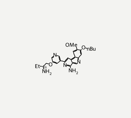 CCCCOc1cc2ncc3c(N)nc(-c4cncc(OC[C@@H](N)CC)c4)cc3c2cc1OC